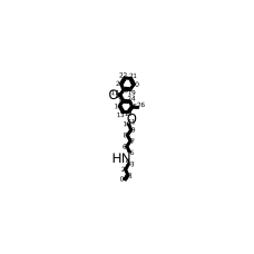 C=CCCNCCCCCCOc1ccc(C(=O)c2ccccc2)cc1C